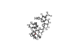 COc1cc(-c2ccc(C3CCc4ccc([C@H](C5CC5)[C@H](C)C(=O)O)cc4O3)cc2C(N2CCCC2)n2nnc3ccccc32)c(F)cn1